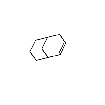 [C]1C=CC2CCCC1C2